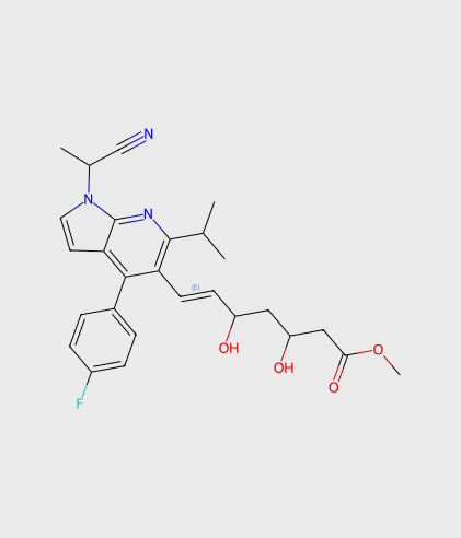 COC(=O)CC(O)CC(O)/C=C/c1c(C(C)C)nc2c(ccn2C(C)C#N)c1-c1ccc(F)cc1